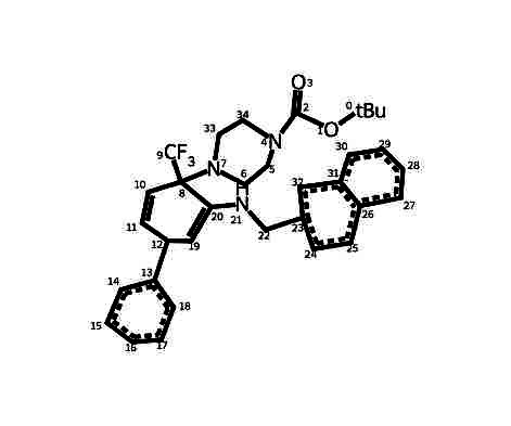 CC(C)(C)OC(=O)N1CCN(C2(C(F)(F)F)C=CC(c3ccccc3)C=C2NCc2ccc3ccccc3c2)CC1